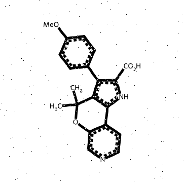 COc1ccc(-c2c(C(=O)O)[nH]c3c2C(C)(C)Oc2cnccc2-3)cc1